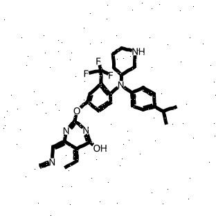 C=N/C=c1/nc(Oc2ccc(N(c3ccc(C(C)C)cc3)C3CCCNC3)c(C(F)(F)F)c2)nc(O)/c1=C/C